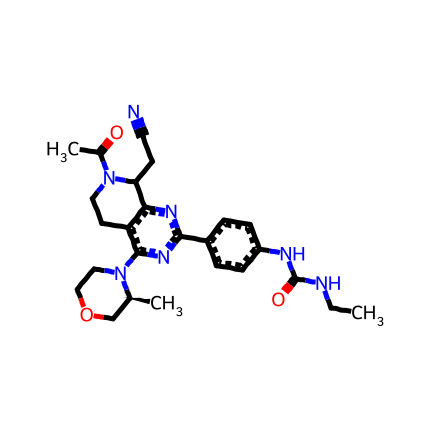 CCNC(=O)Nc1ccc(-c2nc3c(c(N4CCOC[C@@H]4C)n2)CCN(C(C)=O)C3CC#N)cc1